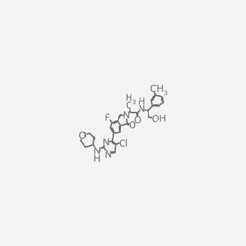 Cc1cccc([C@@H](CO)NC(=O)C(C)N2Cc3c(F)cc(-c4nc(NC5CCOCC5)ncc4Cl)cc3C2=O)c1